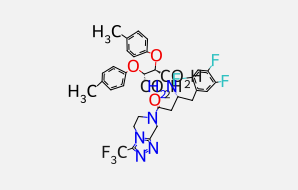 Cc1ccc(O[C@@H](C(=O)O)[C@@H](Oc2ccc(C)cc2)C(=O)O)cc1.N[C@@H](CC(=O)N1CCn2c(nnc2C(F)(F)F)C1)Cc1cc(F)c(F)cc1F